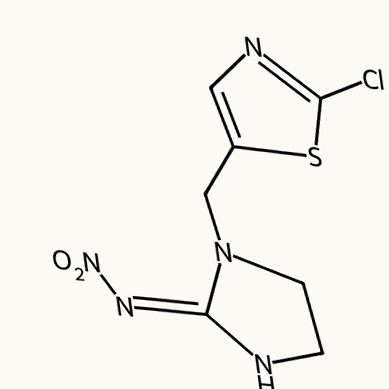 O=[N+]([O-])N=C1NCCN1Cc1cnc(Cl)s1